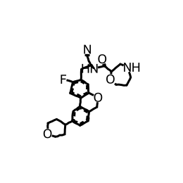 N#CC(Cc1cc2c(cc1F)-c1cc(C3CCOCC3)ccc1CO2)NC(=O)C1CNCCCO1